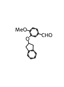 COc1ccc(C=O)cc1OC1Cc2ccccc2C1